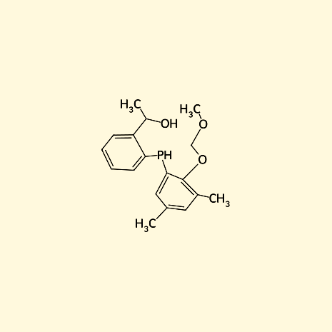 COCOc1c(C)cc(C)cc1Pc1ccccc1C(C)O